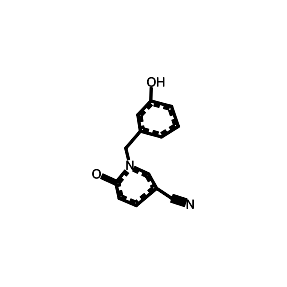 N#Cc1ccc(=O)n(Cc2cccc(O)c2)c1